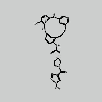 Cn1cc(C(=O)N2CC[C@H](CC(=O)Nc3ccc4cc3CCc3cncc(c3)Nc3ncc(Cl)c(n3)N4)C2)cn1